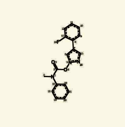 CN(C(=O)On1cc(-c2ccccc2F)cn1)c1ccccc1